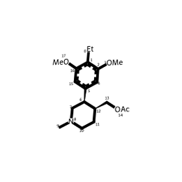 CCc1c(OC)cc([C@@H]2CN(C)CC[C@@H]2COC(C)=O)cc1OC